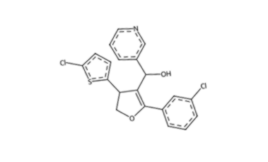 OC(C1=C(c2cccc(Cl)c2)OCC1c1ccc(Cl)s1)c1cccnc1